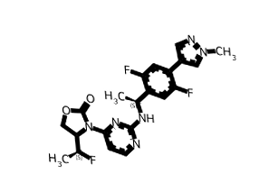 C[C@H](Nc1nccc(N2C(=O)OCC2[C@H](C)F)n1)c1cc(F)c(-c2cnn(C)c2)cc1F